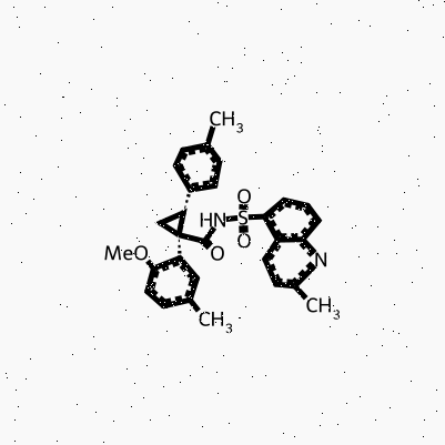 COc1ccc(C)cc1[C@]1(C(=O)NS(=O)(=O)c2cccc3nc(C)ccc23)C[C@@H]1c1ccc(C)cc1